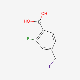 OB(O)c1ccc(CI)cc1F